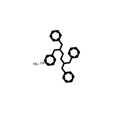 [LiH].[LiH].c1ccc(CC(CCC(Cc2ccccc2)Cc2ccccc2)Cc2ccccc2)cc1